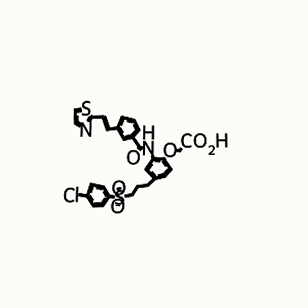 O=C(O)COc1ccc(CCCS(=O)(=O)c2ccc(Cl)cc2)cc1NC(=O)c1cccc(C=Cc2nccs2)c1